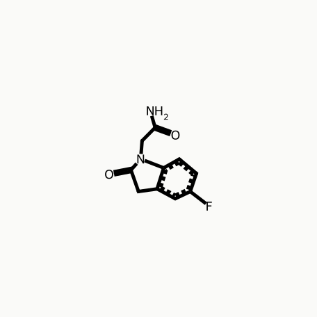 NC(=O)CN1C(=O)Cc2cc(F)ccc21